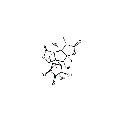 [3H][C@H]1C2OC(=O)[C@]34OC5OC(=O)[C@H](O)C5([C@@H]1C(C)(C)C)C23[C@@H](O)[C@@H]1OC(=O)[C@@H](C)[C@@]14O